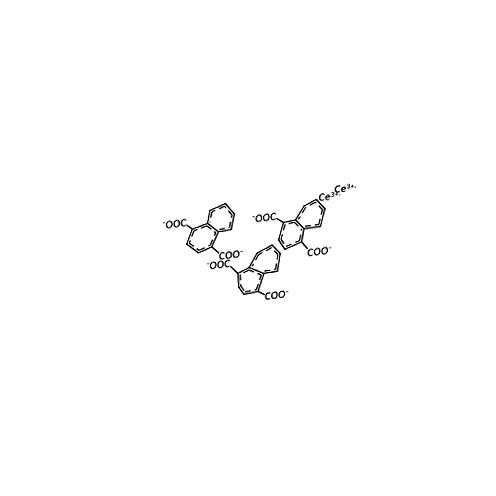 O=C([O-])c1ccc(C(=O)[O-])c2ccccc12.O=C([O-])c1ccc(C(=O)[O-])c2ccccc12.O=C([O-])c1ccc(C(=O)[O-])c2ccccc12.[Ce+3].[Ce+3]